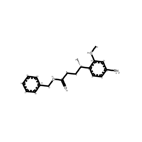 Bc1ccc([C@@H](C)CCC(=O)OCc2ccccc2)c(OC)c1